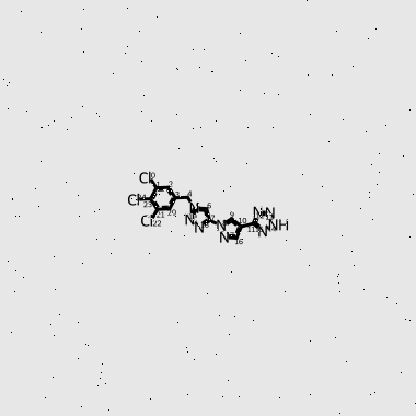 Clc1cc(Cn2cc(-n3cc(-c4nn[nH]n4)cn3)nn2)cc(Cl)c1Cl